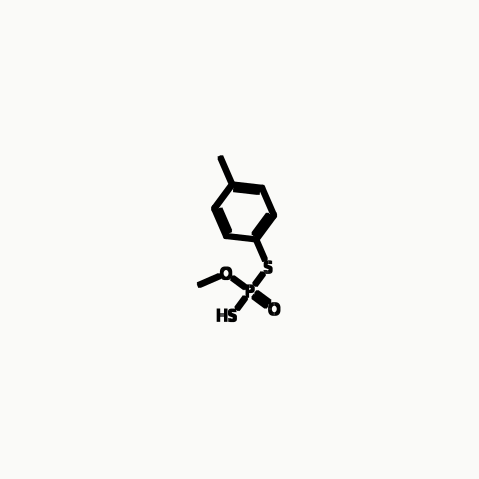 COP(=O)(S)Sc1ccc(C)cc1